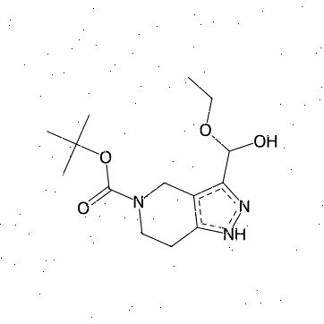 CCOC(O)c1n[nH]c2c1CN(C(=O)OC(C)(C)C)CC2